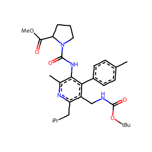 COC(=O)C1CCCN1C(=O)Nc1c(C)nc(CC(C)C)c(CNC(=O)OC(C)(C)C)c1-c1ccc(C)cc1